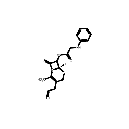 C=CCC1=C(C(=O)O)N2C(=O)C(NC(=O)CNc3ccccc3)[C@@H]2SC1